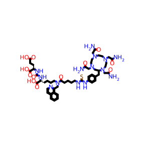 NC(=O)CN1CCN(CC(N)=O)CCN(CC(N)=O)C(Cc2ccc(NC(=S)NCCCCC(=O)N(CCCC[C@@H](NC(=O)N[C@H](CCC(=O)O)C(=O)O)C(=O)O)Cc3nccc4ccccc34)cc2)CN(CC(N)=O)CC1